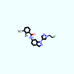 CC(C)c1c(C#N)cccc1C(=O)Nc1ccc2cnn(-c3cnn(CCF)c3)c2c1